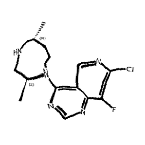 C[C@@H]1CN(c2ncnc3c(F)c(Cl)ncc23)[C@@H](C)CN1